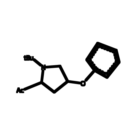 CC(=O)C1CC(Oc2ccccc2)CN1C(C)(C)C